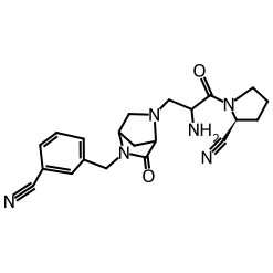 N#Cc1cccc(CN2C(=O)C3CC2CN3CC(N)C(=O)N2CCC[C@H]2C#N)c1